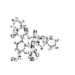 CCOc1ccc(-n2c(C(CNC(=O)OC(C)(C)C)NC(=O)OCc3ccccc3)nc3ccccc3c2=O)cc1